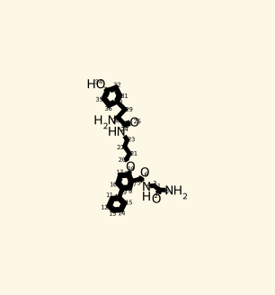 NC(=O)CNC(=O)c1cc(-c2ccccc2)ccc1OCCCCNC(=O)[C@@H](N)Cc1ccc(O)cc1